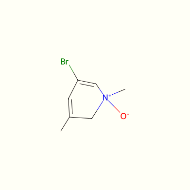 CC1=CC(Br)=C[N+](C)([O-])C1